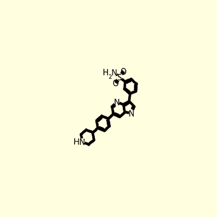 NS(=O)(=O)c1cccc(C2=C3N=CC(c4ccc(C5CCNCC5)cc4)=CC3N=C2)c1